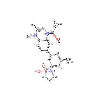 CC(=O)N1c2ccc(-c3cc(N4CCCS4(=O)=O)cc(C(F)(F)F)c3)cc2N(C(=O)C2CC2)C[C@@H]1C